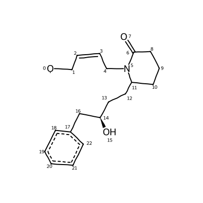 [O]C/C=C\CN1C(=O)CCCC1CC[C@@H](O)Cc1ccccc1